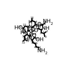 CC(C)CC(NC(=O)CN)C(=O)NC(CC(C)C)C(=O)NC(CC(=O)O)C(=O)NC(CC(C)C)C(=O)NC(CCCCN)C(=O)O